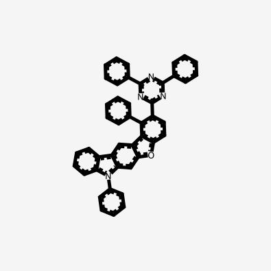 c1ccc(-c2nc(-c3ccccc3)nc(-c3ccc4oc5cc6c(cc5c4c3-c3ccccc3)c3ccccc3n6-c3ccccc3)n2)cc1